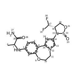 CC(Nc1ccc2c(c1)OCCn1cc(N3[C@H](C(F)F)COS3=O)nc1-2)C(N)=O